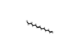 [CH]=CCCCCC=CCCCCC